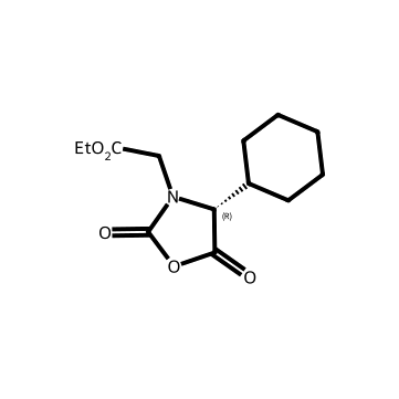 CCOC(=O)CN1C(=O)OC(=O)[C@H]1C1CCCCC1